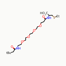 CCSCC(NC(=O)CCOCCOCCOCCOCCNC(=O)CC(C)(C)C)C(=O)O